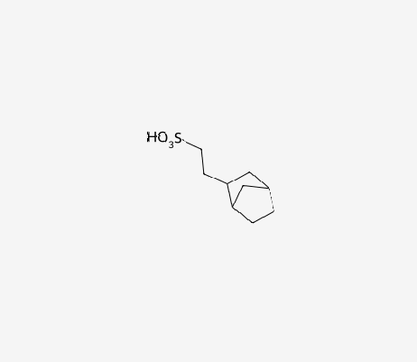 O=S(=O)(O)CCC1CC2CCC1C2